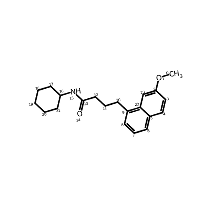 COc1ccc2cccc(CCCC(=O)NC3CCCCC3)c2c1